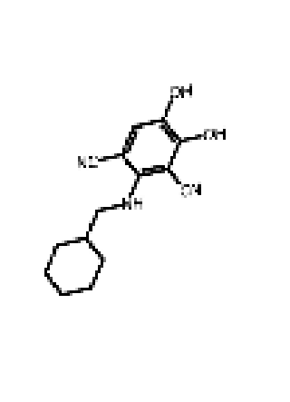 N#Cc1cc(O)c(O)c(C#N)c1NCC1CCCCC1